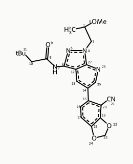 COC(C)Cn1nc(NC(=O)CC(C)(C)C)c2cc(-c3ccc4c(c3C#N)OCO4)cnc21